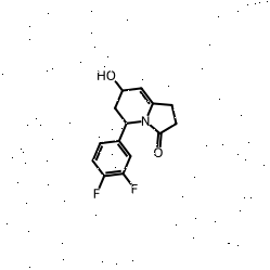 O=C1CCC2=CC(O)CC(c3ccc(F)c(F)c3)N12